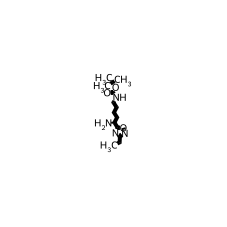 CCc1noc([C@@H](N)CCCCNC(=O)OC(C)(C)C)n1